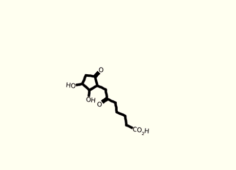 O=C(O)CCCCC(=O)CC1C(=O)CC(O)C1O